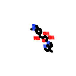 Cc1ccnc2c1ccn2C1OC(C(O)c2ccc3cnn(C)c3c2)C(O)C1O